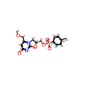 COCc1cc(=O)nc2n1C[C@@H](COS(=O)(=O)c1ccc(C)cc1)O2